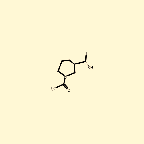 CC(=O)N1CCC[C@@H]([C@@H](C)I)C1